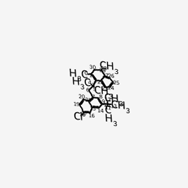 CC1=C(C(C)(C)Cc2cc(C(C)(C)C)cc3cc(Cl)ccc23)c2ccccc2C(C)C1